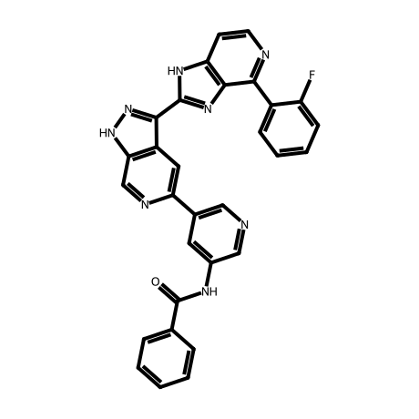 O=C(Nc1cncc(-c2cc3c(-c4nc5c(-c6ccccc6F)nccc5[nH]4)n[nH]c3cn2)c1)c1ccccc1